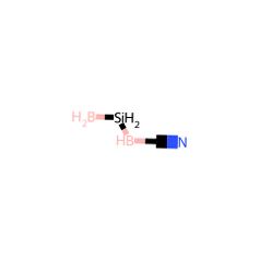 B[SiH2]BC#N